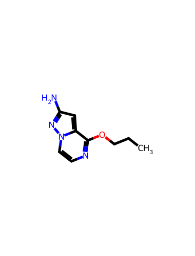 CCCOc1nccn2nc(N)cc12